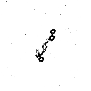 CC(C)C(C#N)(CCCN1CCN(CCOc2cccc(-c3ccccc3)c2)CC1)c1ccccc1